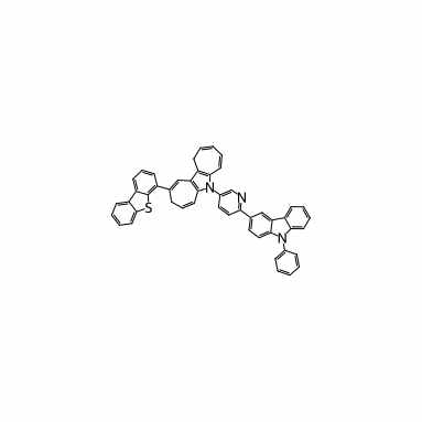 C1=CCc2c3c(n(-c4ccc(-c5ccc6c(c5)c5ccccc5n6-c5ccccc5)nc4)c2C=C1)C=CCC(c1cccc2c1sc1ccccc12)=C3